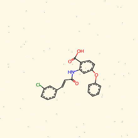 O=C(C=Cc1cccc(Cl)c1)Nc1cc(Oc2ccccc2)ccc1C(=O)O